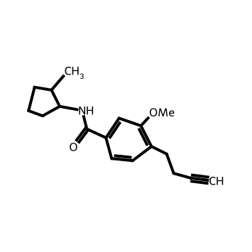 C#CCCc1ccc(C(=O)NC2CCCC2C)cc1OC